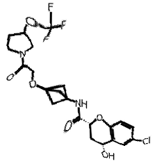 O=C(NC12CC(OCC(=O)N3CCC(OC(F)(F)F)C3)(C1)C2)[C@H]1C[C@@H](O)c2cc(Cl)ccc2O1